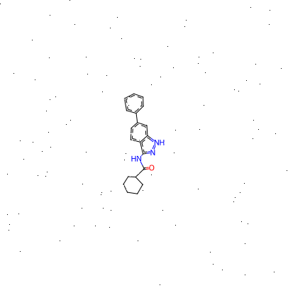 O=C(Nc1n[nH]c2cc(-c3ccccc3)ccc12)C1CCCCC1